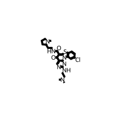 CN(C)CCNc1ncc2c(=O)c(C(=O)NCCC3CCCN3C)c3sc4ccc(Cl)cc4n3c2n1